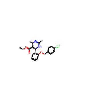 CCOC(=O)C1=C(C)N=C(C)NC1c1ccccc1OCc1ccc(Cl)cc1